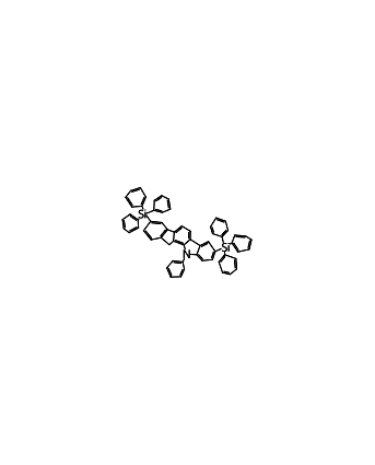 c1ccc(-n2c3ccc([Si](c4ccccc4)(c4ccccc4)c4ccccc4)cc3c3ccc4c(c32)Cc2ccc([Si](c3ccccc3)(c3ccccc3)c3ccccc3)cc2-4)cc1